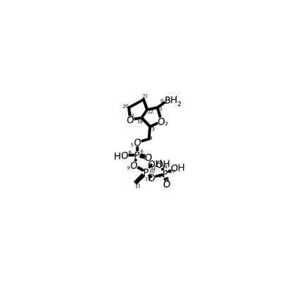 BC1OC(COP(=O)(O)OP(=C)(O)OP(=O)(O)O)C2OCCC12